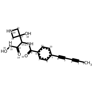 CC#CC#Cc1ccc(C(=O)NC(C(=O)NO)C2(O)CNC2)cc1